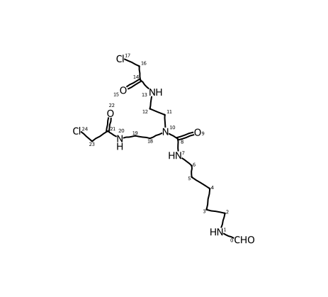 O=CNCCCCCNC(=O)N(CCNC(=O)CCl)CCNC(=O)CCl